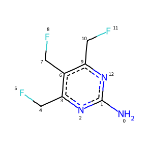 Nc1nc(CF)c(CF)c(CF)n1